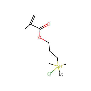 C=C(C)C(=O)OCCC[SH](C)(C)(Cl)CC